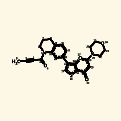 CC#CC(=O)N1CCCc2ccc(-c3csc4c(=O)cc(N5CCOCC5)oc34)cc21